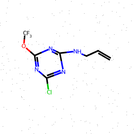 C=CCNc1nc(Cl)nc(OC(F)(F)F)n1